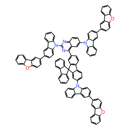 c1ccc2c(c1)-c1ccccc1C21c2cc(-c3nc(-n4c5ccccc5c5cc(-c6ccc7oc8ccccc8c7c6)ccc54)nc4ccc(-n5c6ccccc6c6cc(-c7ccc8oc9ccccc9c8c7)ccc65)cc34)ccc2-c2ccc(-n3c4ccccc4c4cc(-c5ccc6oc7ccccc7c6c5)ccc43)cc21